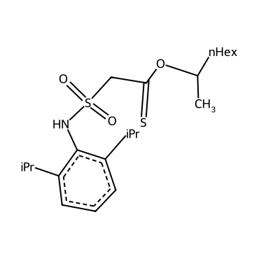 CCCCCCC(C)OC(=S)CS(=O)(=O)Nc1c(C(C)C)cccc1C(C)C